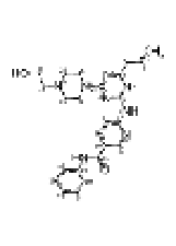 C=CCc1nc(Nc2ccc(C(=O)Nc3ccccc3)cn2)nc(N2CCN(CCO)CC2)n1